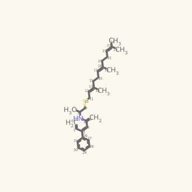 C=C/C(=C\C(=C)NC(C)CSC/C=C(\C)CC/C=C(\C)CCC=C(C)C)c1ccccc1